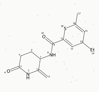 C=C1NC(=O)CCC1NC(=O)C1=CC(CC)C=C(C)S1